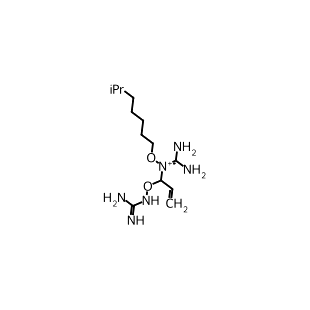 C=CC(ONC(=N)N)[N+](OCCCCCC(C)C)=C(N)N